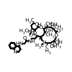 C[C@H]1[C@H](O)[C@@H](C)C(=O)O[C@H](I)[C@@](C)(O)[C@H](O)[C@@H](C)N(C)C[C@H]2C[C@@](C)(O)[C@@H]1O[C@@H]1O[C@H](C)C[C@H](N(C)C)[C@H]1OC2CCNC(=O)CNc1ccnc2ccccc12